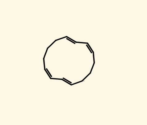 [CH]1/C=C/C=C\CCC/C=C/C=C\CC1